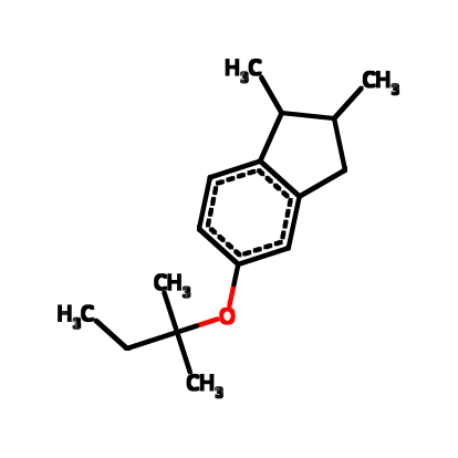 CCC(C)(C)Oc1ccc2c(c1)CC(C)C2C